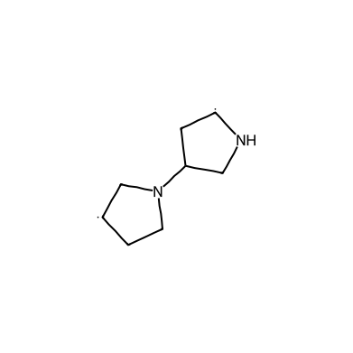 [CH]1CCN(C2C[CH]NC2)C1